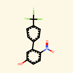 O=[N+]([O-])c1ccc(O)cc1-c1ccc(C(F)(F)F)cc1